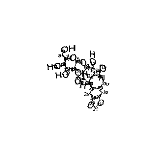 O=C1C[C@@H](O[C@H]2O[C@H](CO)[C@@H](O)[C@H](O)[C@@H]2O)[C@H](O)C(=O)N2CC[C@@H]1c1cc3c(cc1C2)OCO3